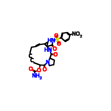 NC(=O)OC1CCCCC/C=C/C2CC2(C(=O)NS(=O)(=O)c2ccc([N+](=O)[O-])cc2)NC(=O)C2CCCN2C1=O